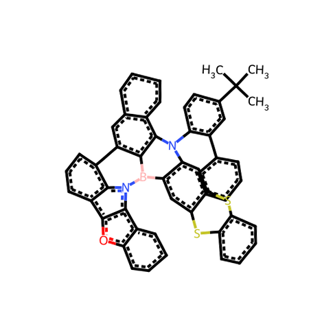 CC(C)(C)c1ccc(N2c3cc4c(cc3B3c5c(cc6ccccc6c52)-c2cccc5c6oc7ccccc7c6n3c25)Sc2ccccc2S4)c(-c2ccccc2)c1